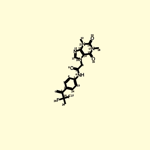 C=C(c1ccc(NC(=O)Cn2cnc3c2c(=O)n(C)c(=O)n3C)cc1)C(C)(F)F